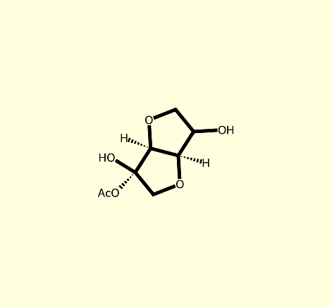 CC(=O)O[C@@]1(O)CO[C@@H]2[C](O)CO[C@@H]21